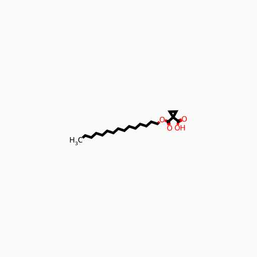 CCCCCCCCCCCCCCCOC(=O)C1(C(=O)O)CC1